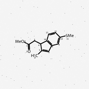 COC(=O)CC1C(C)=Cc2cc(SC)ccc21